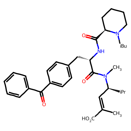 CCC(C)N1CCCC[C@@H]1C(=O)N[C@@H](Cc1ccc(C(=O)c2ccccc2)cc1)C(=O)N(C)[C@H](/C=C(\C)C(=O)O)C(C)C